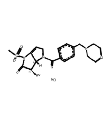 CC(C)[C@H]1C(=O)N(S(C)(=O)=O)C2=CCN(C(=O)c3ccc(CN4CCOCC4)cc3)[C@@H]21.Cl